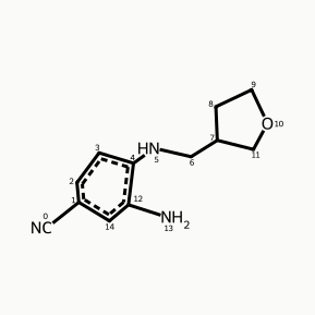 N#Cc1ccc(NCC2CCOC2)c(N)c1